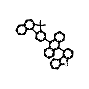 CC1(C)c2cc(-c3c4ccccc4c(-c4cccc5oc6ccccc6c45)c4ccccc34)ccc2-c2c1ccc1ccccc21